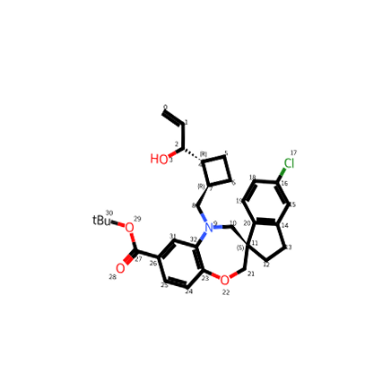 C=CC(O)[C@@H]1CC[C@H]1CN1C[C@@]2(CCc3cc(Cl)ccc32)COc2ccc(C(=O)OC(C)(C)C)cc21